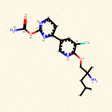 CC(C)CC(C)(N)COc1ncc(-c2ccnc(OC(N)=O)n2)cc1F